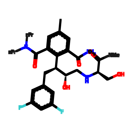 CCCN(CCC)C(=O)c1cc(C)cc(C(N)=O)c1[C@H](Cc1cc(F)cc(F)c1)[C@@H](O)CN[C@H](CO)C(=O)NC